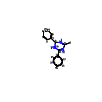 C/C=C\C(=C/CC)C1N=C(C)N=C(c2ccccc2)N1